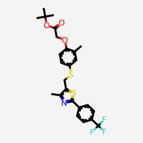 Cc1cc(SCc2sc(-c3ccc(C(F)(F)F)cc3)nc2C)ccc1OCC(=O)OC(C)(C)C